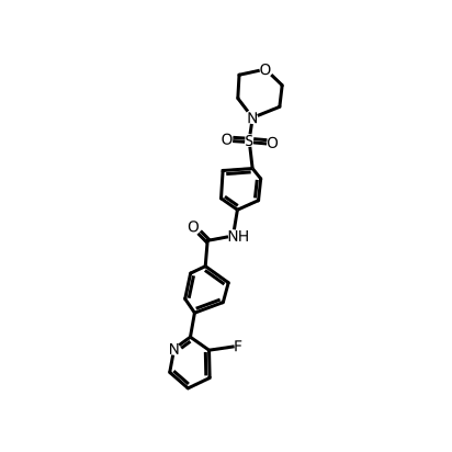 O=C(Nc1ccc(S(=O)(=O)N2CCOCC2)cc1)c1ccc(-c2ncccc2F)cc1